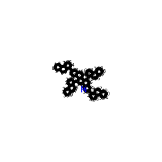 c1ccc2c(c1)ccc1c(-c3ccc4c(ccc5c4c(-c4cccc6c4ccc4ccccc46)cc4c6ncc(-c7cccc8c7ccc7ccccc78)cc6cc(-c6cccc7c6ccc6ccccc67)c45)c3)cccc12